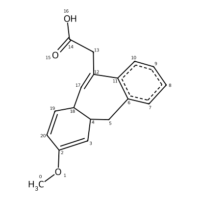 COC1=CC2Cc3ccccc3C(CC(=O)O)=CC2C=C1